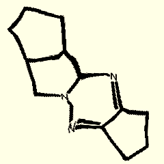 C1CC2=NC3C4CCCC4CN3N=C2C1